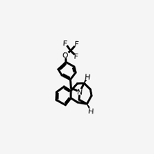 FC(F)(F)Oc1ccc(CN2C[C@@H]3CC[C@H]2Cc2ccccc2C3)cc1